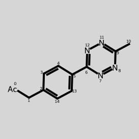 CC(=O)Cc1ccc(-c2nnc(C)nn2)cc1